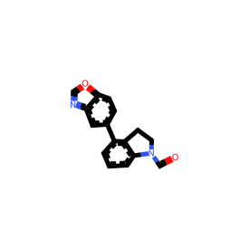 O=[C]N1CCc2c(-c3ccc4ocnc4c3)cccc21